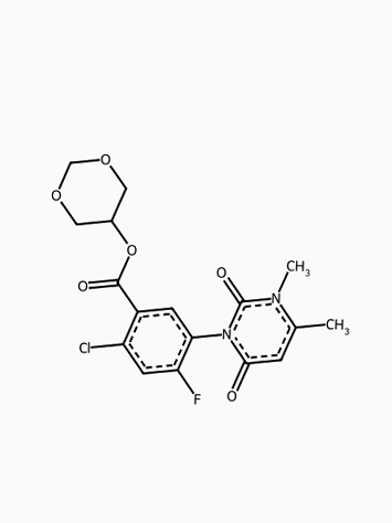 Cc1cc(=O)n(-c2cc(C(=O)OC3COCOC3)c(Cl)cc2F)c(=O)n1C